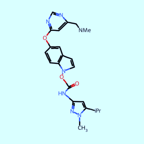 CNCc1cc(Oc2ccc3c(ccn3OC(=O)Nc3cc(C(C)C)n(C)n3)c2)ncn1